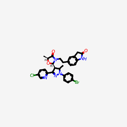 CC1C([C@H]2O[C@@H](C)C(=O)N2CCc2ccc3c(c2)CC(=O)N3)C(c2ccc(Cl)cn2)=NN1c1ccc(Br)cc1